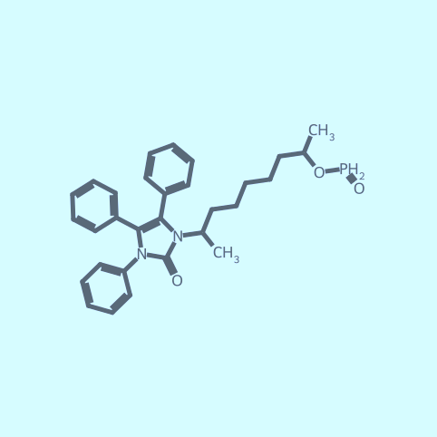 CC(CCCCCC(C)n1c(-c2ccccc2)c(-c2ccccc2)n(-c2ccccc2)c1=O)O[PH2]=O